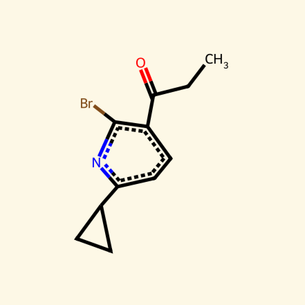 CCC(=O)c1ccc(C2CC2)nc1Br